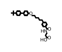 CC(C)(C)c1ccc(-c2ccc(OCCCCCCc3ccc(C(=O)NCCC(=O)O)cc3)cc2)cc1